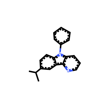 CC(C)c1ccc2c(c1)c1ncccc1n2-c1ccccc1